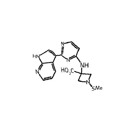 CSN1CC(Nc2ccnc(-c3c[nH]c4ncccc34)n2)(C(=O)O)C1